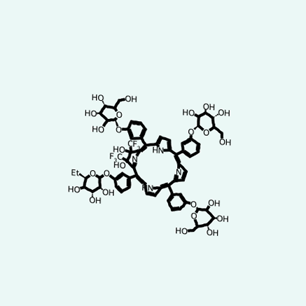 CC[C@H]1OC(Oc2cccc(-c3c4nc(c(-c5cccc(O[C@@H]6OC(CO)[C@@H](O)[C@H](O)C6O)c5)c5ccc([nH]5)c(-c5cccc(O[C@@H]6OC(CO)[C@@H](O)[C@H](O)C6O)c5)c5nc(c(-c6cccc(O[C@@H]7OC(CO)[C@@H](O)[C@H](O)C7O)c6)c6ccc3[nH]6)C=C5)C(O)(C(F)(F)F)C4(O)C(F)(F)F)c2)[C@H](O)[C@H](O)C1O